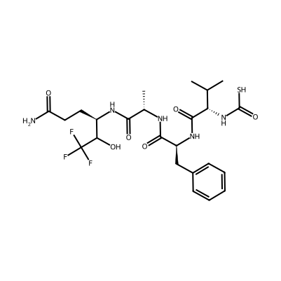 CC(C)[C@H](NC(=O)S)C(=O)N[C@@H](Cc1ccccc1)C(=O)N[C@@H](C)C(=O)N[C@H](CCC(N)=O)C(O)C(F)(F)F